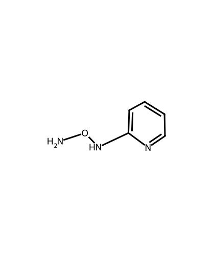 NONc1ccccn1